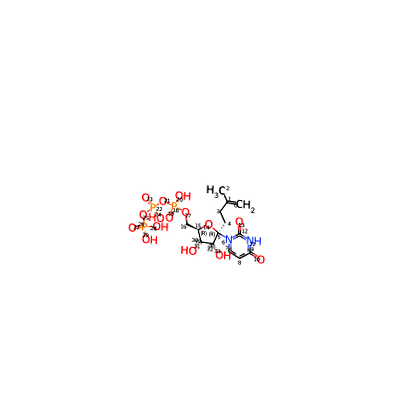 C=C(C)CC[C@@]1(n2ccc(=O)[nH]c2=O)O[C@H](COP(=O)(O)OP(=O)(O)OP(=O)(O)O)[C@@H](O)[C@H]1O